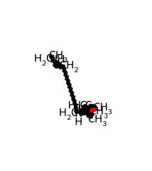 C=C(CCCCCCCCCCCCCCCCCCCCNC(=C)Nc1ccc2c(c1)C(=C)CC2(c1ccc(C)cc1C)c1ccc(C)cc1C)Cc1ccc(CNC(=C)C)cc1